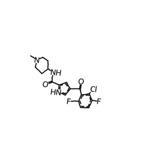 CN1CCC(NC(=O)c2cc(C(=O)c3c(F)ccc(F)c3Cl)c[nH]2)CC1